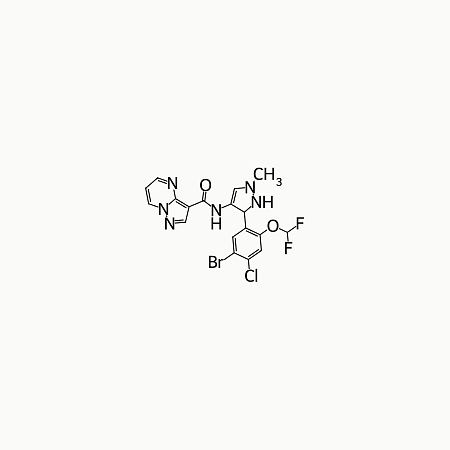 CN1C=C(NC(=O)c2cnn3cccnc23)C(c2cc(Br)c(Cl)cc2OC(F)F)N1